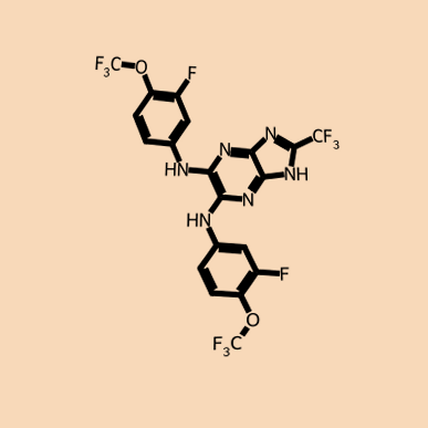 Fc1cc(Nc2nc3nc(C(F)(F)F)[nH]c3nc2Nc2ccc(OC(F)(F)F)c(F)c2)ccc1OC(F)(F)F